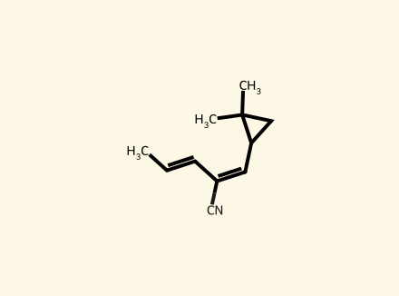 C/C=C/C(C#N)=C\C1CC1(C)C